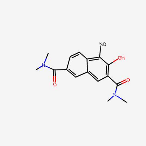 CN(C)C(=O)c1ccc2c(N=O)c(O)c(C(=O)N(C)C)cc2c1